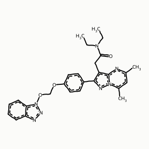 CCN(CC)C(=O)Cc1c(-c2ccc(OCOn3nnc4ccccc43)cc2)nn2c(C)cc(C)nc12